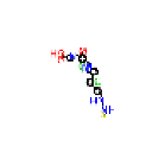 COc1cc(Cn2ncc3c(-c4cccc(-c5ccc(CNCCNSC)cc5)c4Cl)cccc32)c(Cl)cc1CN1CC[C@@H](C(=O)O)C1